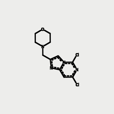 Clc1cc2nc(CN3CCOCC3)cn2c(Cl)n1